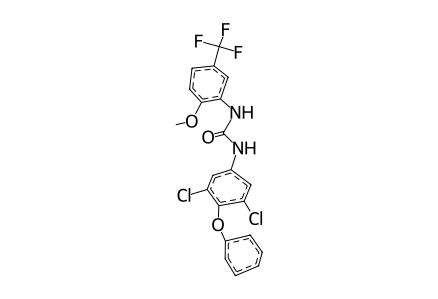 COc1ccc(C(F)(F)F)cc1NC(=O)Nc1cc(Cl)c(Oc2ccccc2)c(Cl)c1